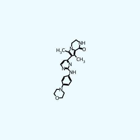 Cc1c(-c2ccnc(Nc3ccc(N4CCOCC4)cc3)n2)c(C)n2c1C(=O)NCC2